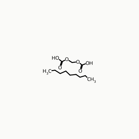 CCCCCCCCC.O=C(O)OCOC(=O)O